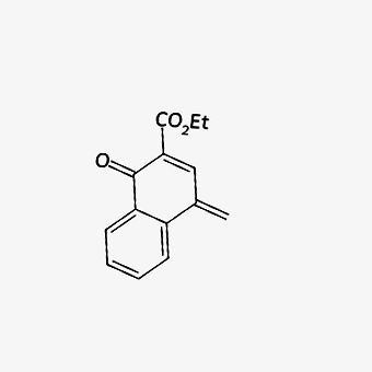 C=C1C=C(C(=O)OCC)C(=O)c2ccccc21